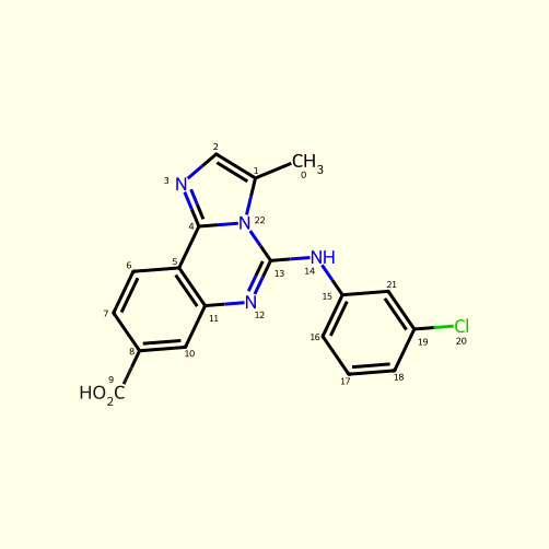 Cc1cnc2c3ccc(C(=O)O)cc3nc(Nc3cccc(Cl)c3)n12